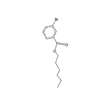 CCCCCCOC(=O)c1cccc(Br)c1